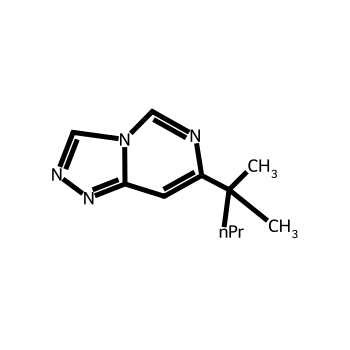 CCCC(C)(C)c1cc2nncn2cn1